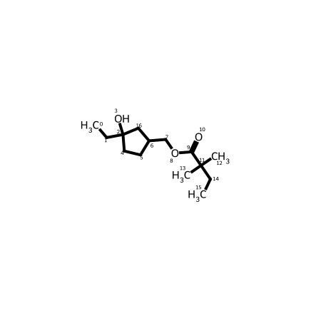 CCC1(O)CCC(COC(=O)C(C)(C)CC)C1